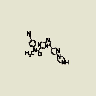 CN(C(=O)c1cn2c(-c3ccc(N4CCNCC4)nc3)cnc2cn1)c1ccc(C#N)cc1